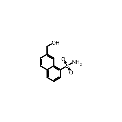 NS(=O)(=O)c1cccc2ccc(CO)cc12